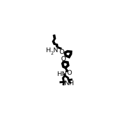 C=C/C=C\C=C(/N)COc1ccccc1Oc1ccc(C(=O)NC2CC(C)(C)NC(C)(C)C2)cc1